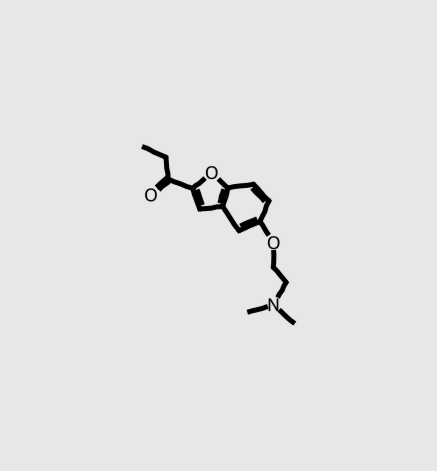 CCC(=O)c1cc2cc(OCCN(C)C)ccc2o1